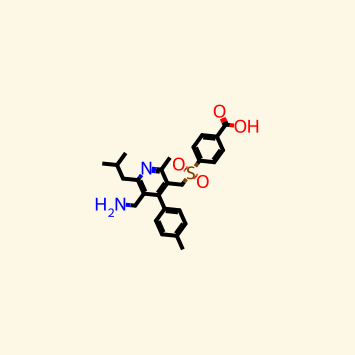 Cc1ccc(-c2c(CS(=O)(=O)c3ccc(C(=O)O)cc3)c(C)nc(CC(C)C)c2CN)cc1